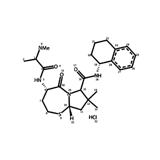 CNC(C)C(=O)N[C@H]1CCS[C@H]2CC(C)(C)C(C(=O)N[C@@H]3CCCc4ccccc43)N2C1=O.Cl